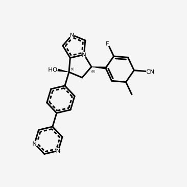 CC1C=C([C@H]2C[C@](O)(c3ccc(-c4cncnc4)cc3)c3cncn32)C(F)=CC1C#N